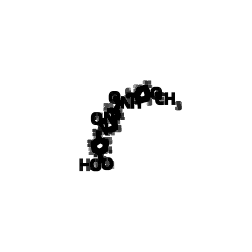 COc1ccc(CNC(=O)c2cc3ccn(Cc4ccc(C(=O)O)cc4)c(=O)n3c2)cc1